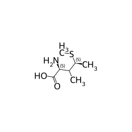 CS[C@@H](C)C(C)[C@H](N)C(=O)O